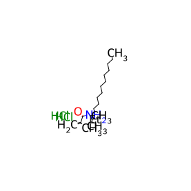 C=C(C)C(N)=O.CCC.CCCCCCCCCCCC.Cl.Cl